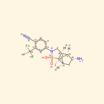 C[C@@]12[C@H]3C[C@H]([C@H](N)C3)[C@@H]1CN(c1ccc(C#N)c(C(F)(F)F)c1)S2(=O)=O